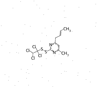 C/C=C/Cc1cc(C)nc(SSC(Cl)(Cl)C(Cl)Cl)n1